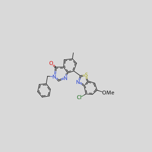 COc1cc(Cl)c2nc(-c3cc(C)cc4c(=O)n(Cc5ccccc5)cnc34)sc2c1